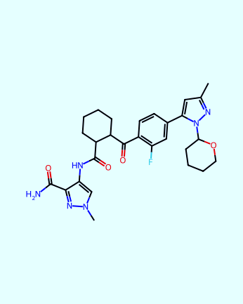 Cc1cc(-c2ccc(C(=O)C3CCCCC3C(=O)Nc3cn(C)nc3C(N)=O)c(F)c2)n(C2CCCCO2)n1